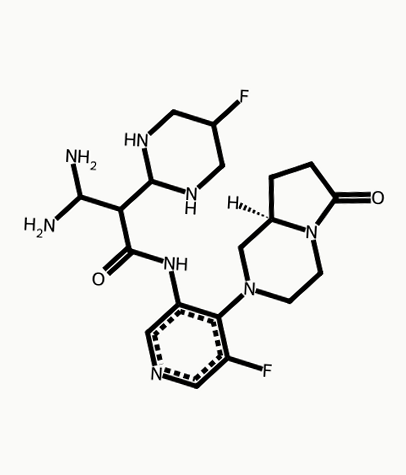 NC(N)C(C(=O)Nc1cncc(F)c1N1CCN2C(=O)CC[C@@H]2C1)C1NCC(F)CN1